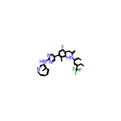 C=C(Cc1cc(C)c(-c2cnc(NC3=C(C)\C=C/C=C\C/N=C\3)nc2)cc1F)NC(=C/C)/C=C(\CC)C(F)(F)F